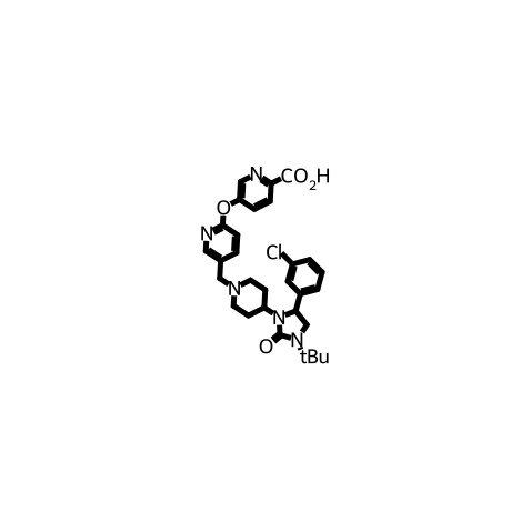 CC(C)(C)N1CC(c2cccc(Cl)c2)N(C2CCN(Cc3ccc(Oc4ccc(C(=O)O)nc4)nc3)CC2)C1=O